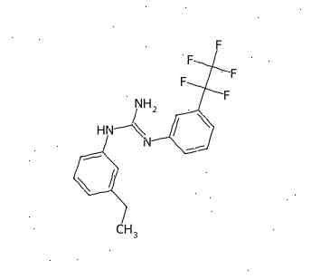 CCc1cccc(NC(N)=Nc2cccc(C(F)(F)C(F)(F)F)c2)c1